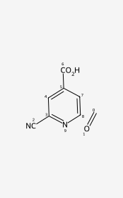 C=O.N#Cc1cc(C(=O)O)ccn1